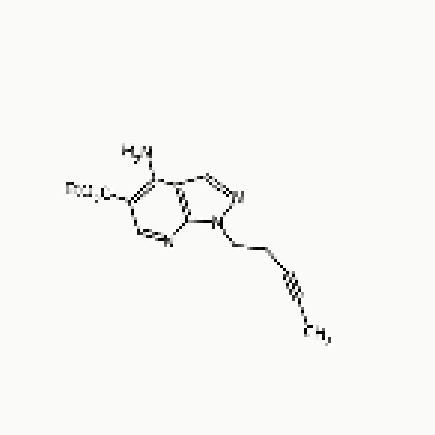 CC#CCCn1ncc2c(N)c(C(=O)OCC)cnc21